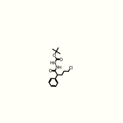 CC(C)(C)OC(=O)NNC(=O)C(CCCCl)c1ccccc1